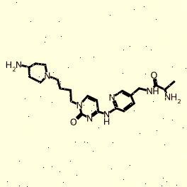 CC(N)C(=O)NCc1ccc(Nc2ccn(CCCCN3CCC(N)CC3)c(=O)n2)nc1